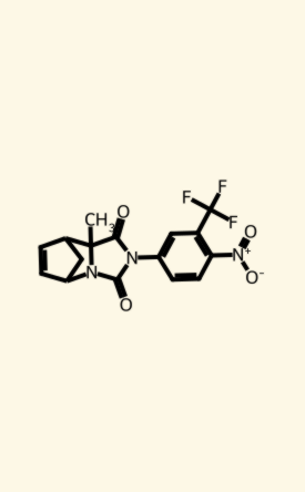 CC12C(=O)N(c3ccc([N+](=O)[O-])c(C(F)(F)F)c3)C(=O)N1C1C=CC2C1